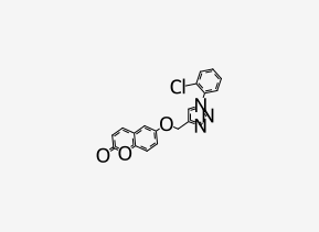 O=c1ccc2cc(OCc3cn(-c4ccccc4Cl)nn3)ccc2o1